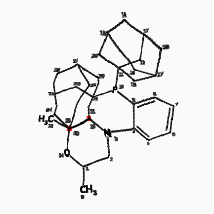 CC1CN(c2ccccc2P(C23CC4CC(CC(C4)C2)C3)C23CC4CC(CC(C4)C2)C3)CC(C)O1